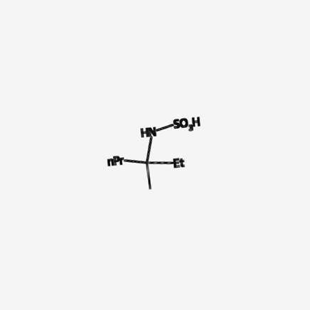 CCCC(C)(CC)NS(=O)(=O)O